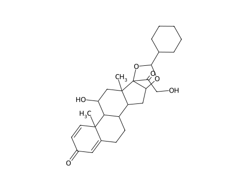 CC12C=CC(=O)C=C1CCC1C2C(O)CC2(C)C1CC1OC(C3CCCCC3)OC12C(=O)CO